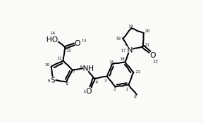 Cc1cc(C(=O)Nc2cscc2C(=O)O)cc(N2CCCC2=O)c1